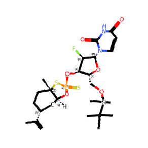 C=C(C)[C@@H]1CC[C@]2(C)S[P@@](=S)(O[C@H]3[C@@H](F)[C@H](n4ccc(=O)[nH]c4=O)O[C@@H]3CO[Si](C)(C)C(C)(C)C)O[C@H]2C1